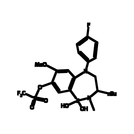 CCCCC1CN(c2ccc(F)cc2)c2cc(OC)c(OS(=O)(=O)C(F)(F)F)cc2S(O)(O)N1C